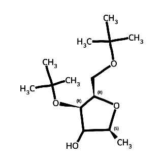 C[C@@H]1O[C@H](COC(C)(C)C)[C@H](OC(C)(C)C)C1O